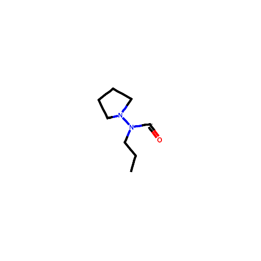 CCCN([C]=O)N1CCCC1